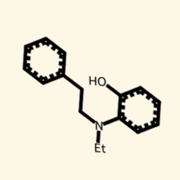 CCN(CCc1ccccc1)c1ccccc1O